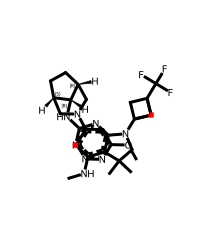 CNc1nc(N[C@H]2[C@@H]3CC[C@H]2CN(c2cnnc(OC)c2)C3)nc2c1C(C)(C)CN2C12CC(C(F)(F)F)(C1)C2